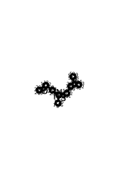 c1ccc(-c2nc(-c3ccc(-c4cccc5c4oc4ccccc45)cc3)nc3c2sc2ccc(-c4ccc5c(c4)c4ccccc4n5-c4ccccc4)cc23)cc1